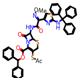 CON=C(C(=O)NC1C(=O)N2C(C(=O)OC(c3ccccc3)c3ccccc3)=C(SC(C)=O)CSC12)c1csc(NC(c2ccccc2)(c2ccccc2)c2ccccc2)n1